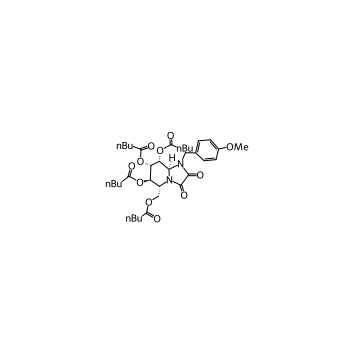 CCCCC(=O)OC[C@@H]1[C@@H](OC(=O)CCCC)[C@H](OC(=O)CCCC)[C@H](OC(=O)CCCC)[C@H]2N(Cc3ccc(OC)cc3)C(=O)C(=O)N12